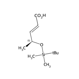 C[C@@H](C=CC(=O)O)O[Si](C)(C)C(C)(C)C